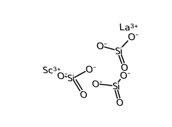 O=[Si]([O-])[O-].O=[Si]([O-])[O-].O=[Si]([O-])[O-].[La+3].[Sc+3]